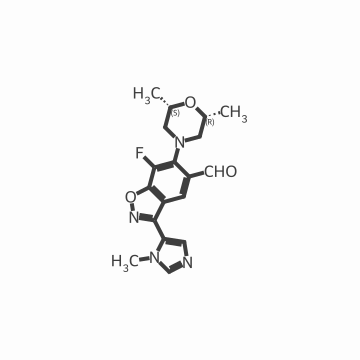 C[C@@H]1CN(c2c(C=O)cc3c(-c4cncn4C)noc3c2F)C[C@H](C)O1